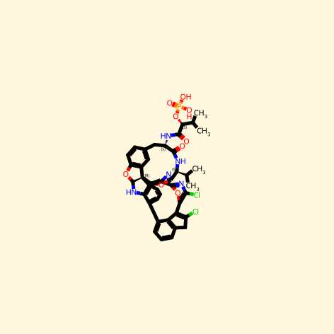 CC(C)[C@H](OP(=O)(O)O)C(=O)N[C@H]1Cc2ccc3c(c2)[C@]24c5cccc(c5NC2O3)-c2cccc3c2C(=C(Cl)C3)c2oc(nc2Cl)-c2nc(oc24)[C@H](C(C)C)NC1=O